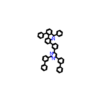 c1ccc(-c2cccc(-c3cc(-c4cccc(-c5cccc6c5nc(-c5ccccc5)c5cccc(-c7ccccc7)c56)c4)nc(-c4cccc(-c5ccccc5)c4)n3)c2)cc1